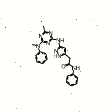 Cc1nc(Nc2cc(CC(=O)Nc3ccccc3)[nH]n2)nc(N(C)c2ccccc2)n1